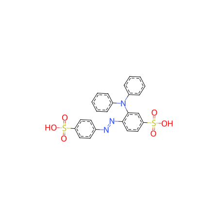 O=S(=O)(O)c1ccc(N=Nc2ccc(S(=O)(=O)O)cc2N(c2ccccc2)c2ccccc2)cc1